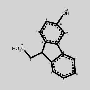 O=C(O)CC1c2ccccc2-c2cc(O)ccc21